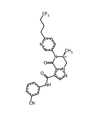 C[C@H]1Cn2ncc(C(=O)Nc3cccc(C#N)c3)c2C(=O)N1c1ccc(CCCC(F)(F)F)nc1